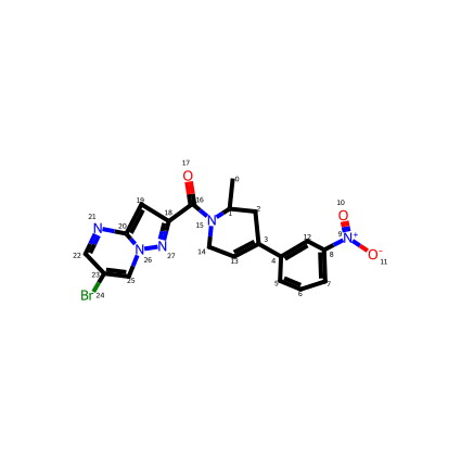 CC1CC(c2cccc([N+](=O)[O-])c2)=CCN1C(=O)c1cc2ncc(Br)cn2n1